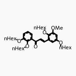 CCCCCCOc1cc(C=CC(=O)c2cccc(OCCCCCC)c2OCCCCCC)c(OCCCCCC)c(OC)c1